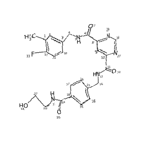 Cc1cc(CNC(=O)c2cc(C(=O)NCc3ccc(C(=O)NCCO)cc3)ncn2)ccc1F